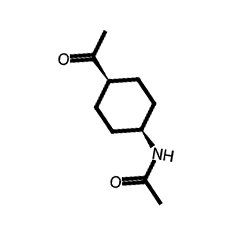 CC(=O)N[C@H]1CC[C@@H](C(C)=O)CC1